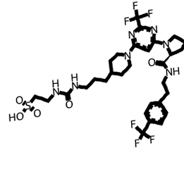 O=C(NCCCC1CCN(c2cc(N3CCC[C@H]3C(=O)NCCc3ccc(C(F)(F)F)cc3)nc(C(F)(F)F)n2)CC1)NCCS(=O)(=O)O